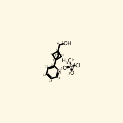 CS(=O)(=O)Cl.OCC12CC(c3ccccn3)(C1)C2